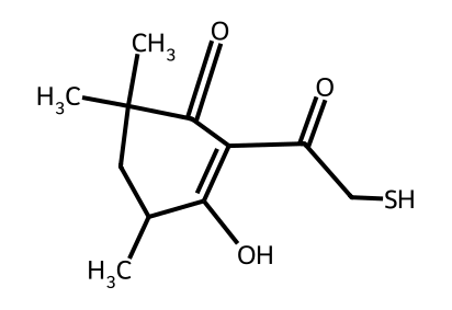 CC1CC(C)(C)C(=O)C(C(=O)CS)=C1O